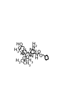 CC(=O)N(CC(=O)O)CC(NC(=O)OC(C)(C)C)n1cnc2c(NC(=O)OCc3ccccc3)nc(N)nc21